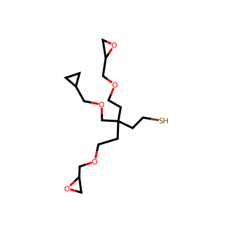 SCCC(CCOCC1CO1)(CCOCC1CO1)COCC1CC1